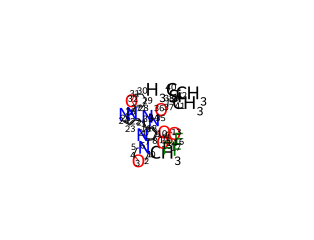 C[C@@H]1COCCN1c1cc(OS(=O)(=O)C(F)(F)F)c2c(n1)c(-c1ccnn1C1CCCCO1)nn2COCC[Si](C)(C)C